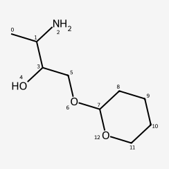 CC(N)C(O)COC1CCCCO1